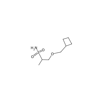 CC(COCC1CCC1)S(N)(=O)=O